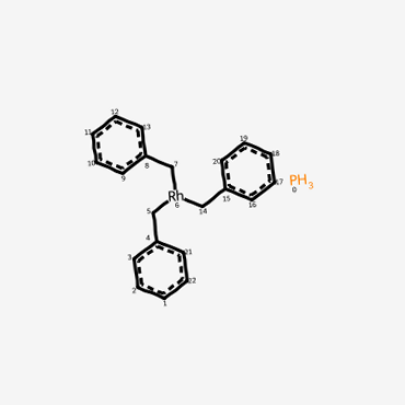 P.c1ccc([CH2][Rh]([CH2]c2ccccc2)[CH2]c2ccccc2)cc1